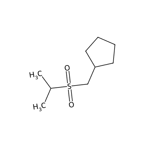 CC(C)S(=O)(=O)CC1CCCC1